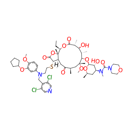 CC[C@H]1OC(=O)[C@H](C)[C@@H](O)[C@H](C)C(O[C@@H]2O[C@H](C)C[C@H](N(C)C(=O)N3CCOCC3)[C@H]2O)[C@](C)(OC)C[C@@H](C)C(=O)[C@H](C)[C@H]2[C@H](SCCN(Cc3c(Cl)cncc3Cl)c3ccc(OC)c(OC4CCCC4)c3)C(=O)O[C@@]21C